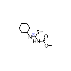 COC(=O)N/C(=N/C1CCCCC1)SC